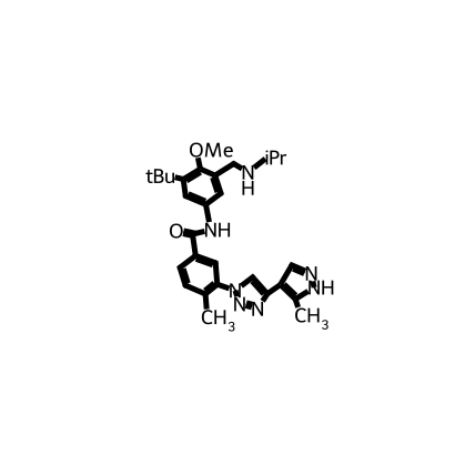 COc1c(CNC(C)C)cc(NC(=O)c2ccc(C)c(-n3cc(-c4cn[nH]c4C)nn3)c2)cc1C(C)(C)C